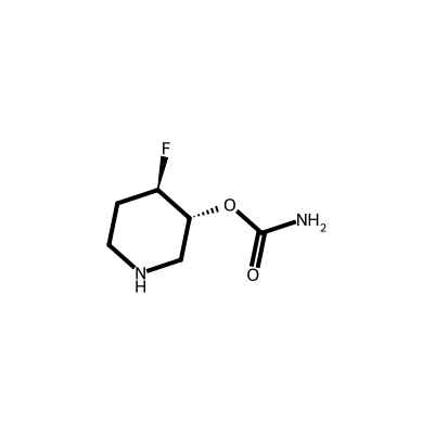 NC(=O)O[C@@H]1CNCC[C@H]1F